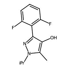 Cc1c(O)c(-c2c(F)cccc2F)nn1C(C)C